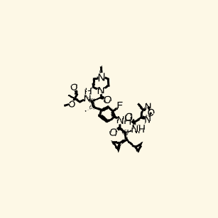 COC(C)(C=O)CN[C@@H](C(=O)N1CCN(C)CC1)[C@@H](C)c1ccc(NC(=O)[C@@H](NC(=O)c2nonc2C)C(C2CC2)C2CC2)c(F)c1